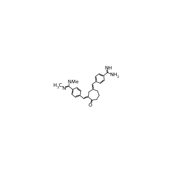 CN=C(NC)c1ccc(/C=C2\CC(=Cc3ccc(C(=N)N)cc3)CCCC2=O)cc1